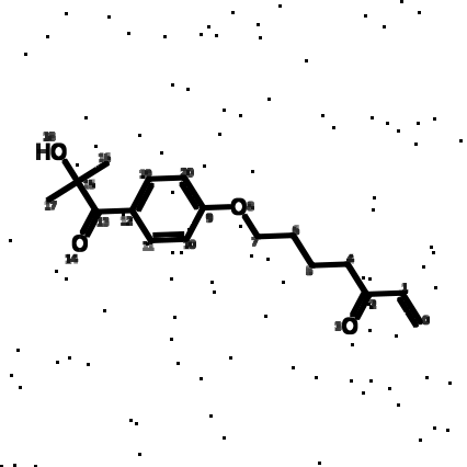 C=CC(=O)CCCCOc1ccc(C(=O)C(C)(C)O)cc1